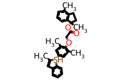 CC1=Cc2ccccc2[SH]1c1cc(C)c(OCC(=O)OC2(C)CCc3c(C)cccc32)c(C)c1